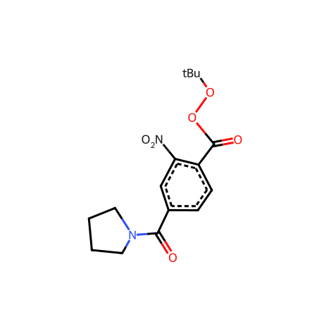 CC(C)(C)OOC(=O)c1ccc(C(=O)N2CCCC2)cc1[N+](=O)[O-]